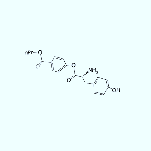 CCCOC(=O)c1ccc(OC(=O)[C@@H](N)Cc2ccc(O)cc2)cc1